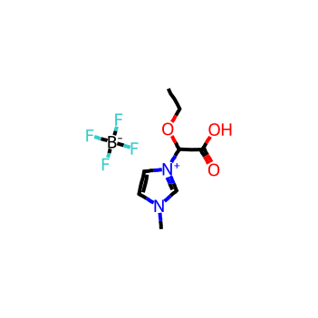 CCOC(C(=O)O)[n+]1ccn(C)c1.F[B-](F)(F)F